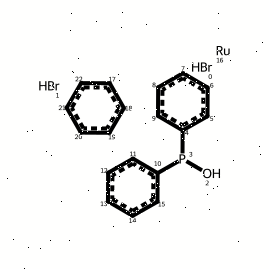 Br.Br.OP(c1ccccc1)c1ccccc1.[Ru].c1ccccc1